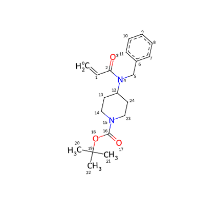 C=CC(=O)N(Cc1ccccc1)C1CCN(C(=O)OC(C)(C)C)CC1